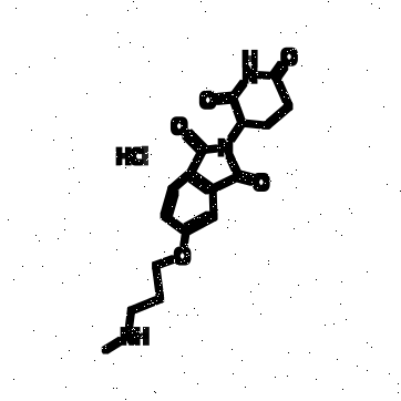 CNCCCOc1ccc2c(c1)C(=O)N(C1CCC(=O)NC1=O)C2=O.Cl